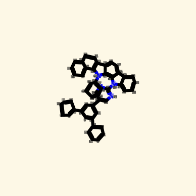 c1ccc(-c2cc(-c3ccccc3)cc(-c3cnc(-n4c5ccccc5c5ccc6c7ccc8ccccc8c7n(-c7ccccc7)c6c54)nc3)c2)cc1